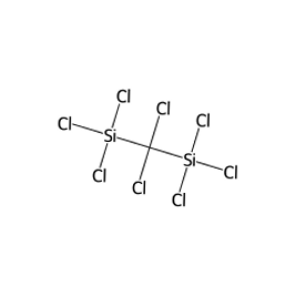 ClC(Cl)([Si](Cl)(Cl)Cl)[Si](Cl)(Cl)Cl